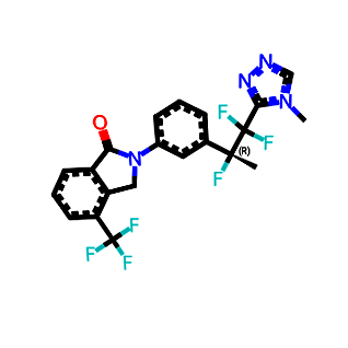 Cn1cnnc1C(F)(F)[C@](C)(F)c1cccc(N2Cc3c(cccc3C(F)(F)F)C2=O)c1